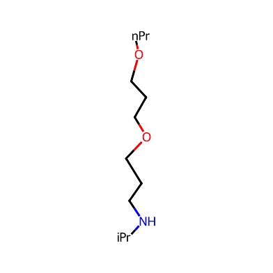 CCCOCCCOCCCNC(C)C